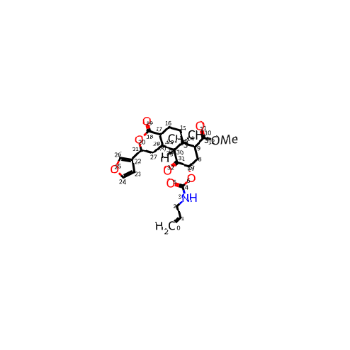 C=CCNC(=O)O[C@H]1CC(C(=O)OC)[C@]2(C)CCC3C(=O)OC(c4ccoc4)C[C@]3(C)[C@H]2C1=O